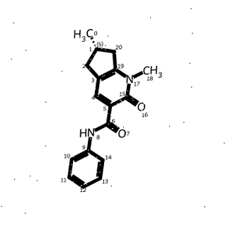 C[C@H]1Cc2cc(C(=O)Nc3ccccc3)c(=O)n(C)c2C1